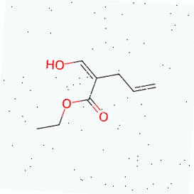 C=CCC(=CO)C(=O)OCC